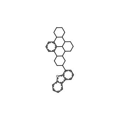 c1cc2c3c(c1)C1CCC(c4cccc5c4oc4ccccc45)CC1C1CCCC(C4CCCCC24)C31